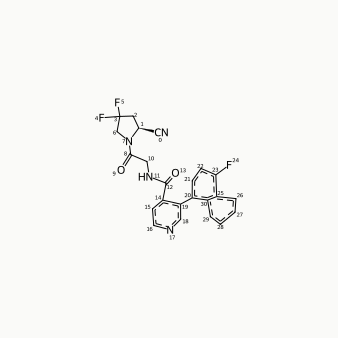 N#C[C@@H]1CC(F)(F)CN1C(=O)CNC(=O)c1ccncc1-c1ccc(F)c2ccccc12